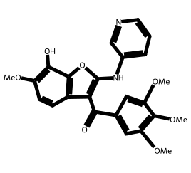 COc1cc(C(=O)c2c(Nc3cccnc3)oc3c(O)c(OC)ccc23)cc(OC)c1OC